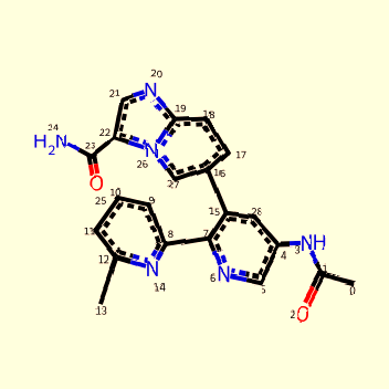 CC(=O)Nc1cnc(-c2cccc(C)n2)c(-c2ccc3ncc(C(N)=O)n3c2)c1